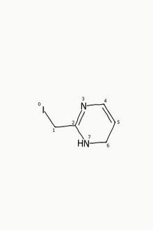 ICC1=NC=CCN1